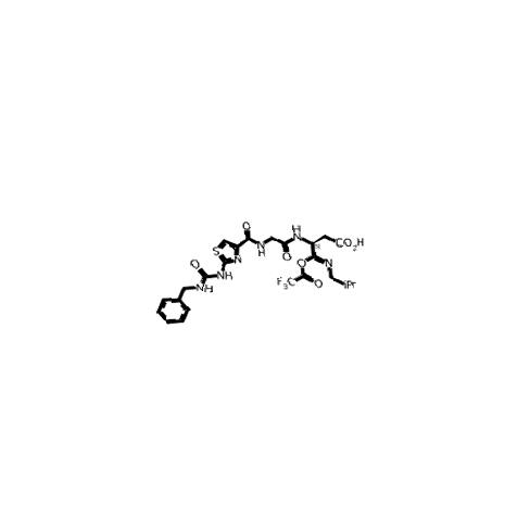 CC(C)CN=C(OC(=O)C(F)(F)F)[C@H](CC(=O)O)NC(=O)CNC(=O)c1csc(NC(=O)NCc2ccccc2)n1